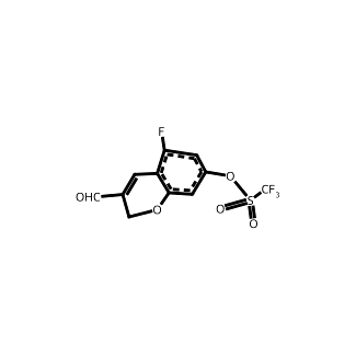 O=CC1=Cc2c(F)cc(OS(=O)(=O)C(F)(F)F)cc2OC1